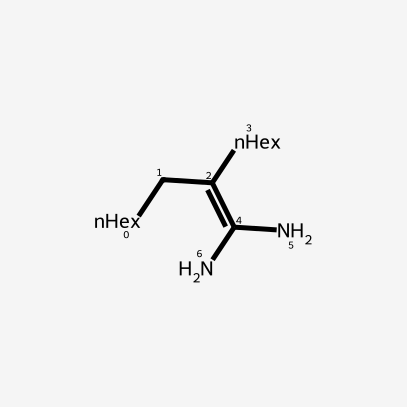 CCCCCCCC(CCCCCC)=C(N)N